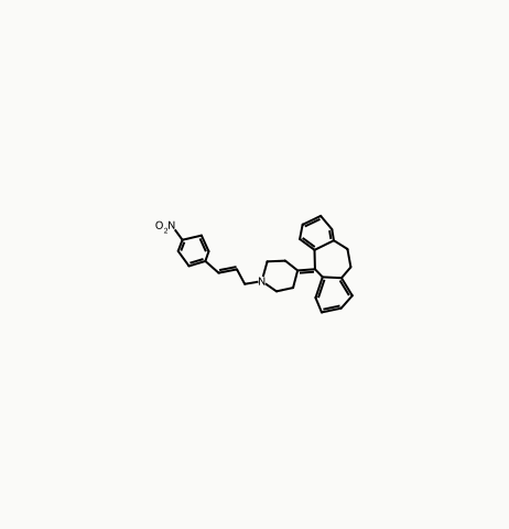 O=[N+]([O-])c1ccc(/C=C/CN2CCC(=C3c4ccccc4CCc4ccccc43)CC2)cc1